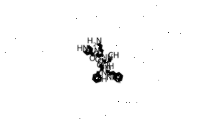 C#CC[C@@H](NC(=O)[C@@H](Cc1ccccc1)NC(=O)[C@H](N)Cc1ccccc1)C(=O)N[C@H](CC(N)CCN)C(=O)OC(=O)C1CCNCC1